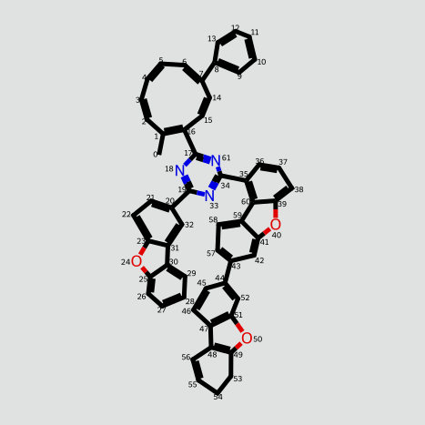 Cc1cccccc(-c2ccccc2)ccc1-c1nc(-c2ccc3oc4ccccc4c3c2)nc(-c2cccc3oc4cc(-c5ccc6c7c(oc6c5)CCC=C7)ccc4c23)n1